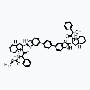 COC(=O)N[C@@H](C(=O)N1[C@H](c2nc3cc(-c4ccc(-c5ccc6[nH]c([C@@H]7C[C@@H]8CCCC[C@@H]8N7C(=O)[C@H](C)c7ccccc7)nc6c5)cc4)ccc3[nH]2)C[C@@H]2CCCC[C@@H]21)c1ccccc1